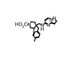 Cc1ccc(CC2(CNc3ccn4nccc4n3)CCN(C(=O)O)C[C@H]2F)cc1